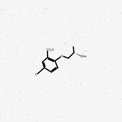 CO[C@@H](C)COc1ccc(Cl)cc1C(=O)O